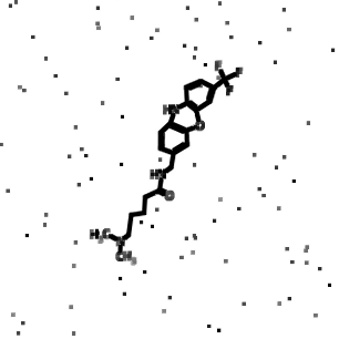 CN(C)CCCCC(=O)NCc1ccc2c(c1)Oc1cc(C(F)(F)F)ccc1N2